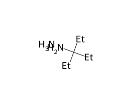 CCC(N)(CC)CC.N